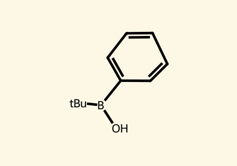 CC(C)(C)B(O)c1ccccc1